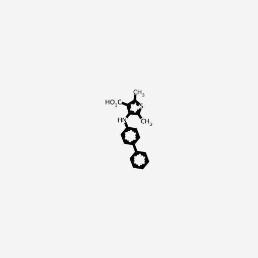 Cc1sc(C)c(C(=O)O)c1Nc1ccc(-c2ccccc2)cc1